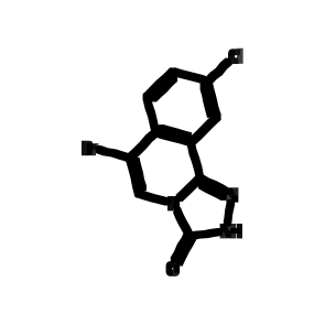 O=c1[nH]nc2c3cc(Cl)ccc3c(Br)cn12